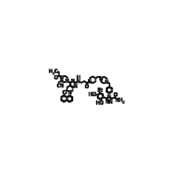 C=CC(=O)N1CCN(c2nc(NCCC(=O)N3CCC(CN4CCN(Cc5ccc(-n6c(C(N)=O)nnc6-c6cc(CC)c(O)cc6O)cc5)CC4)CC3)nc3c2CCN(c2cccc4cccc(Cl)c24)C3)C[C@H]1CC#N